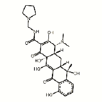 CN(C)[C@H]1C(O)=C(C(=O)NCN2CCCC2)C(=O)[C@]2(O)C(O)=C3C(=O)c4c(O)cccc4[C@@](C)(O)[C@H]3C[C@@H]12